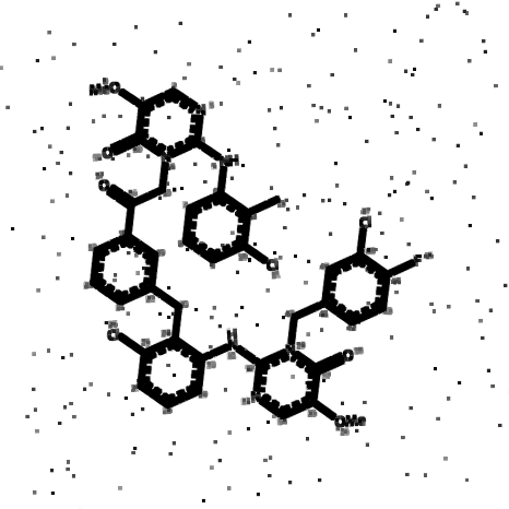 COc1cnc(Nc2cccc(Cl)c2C)n(CC(=O)c2cccc(Cc3c(Cl)cccc3Nc3ncc(OC)c(=O)n3Cc3ccc(F)c(Cl)c3)c2)c1=O